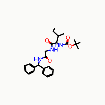 CCC(C)C(NC(=O)OC(C)(C)C)C(=O)NCC(=O)NC(c1ccccc1)c1ccccc1